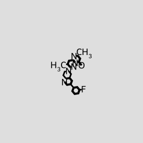 Cc1cc(=O)n2nc(N3CCc4ncc(-c5cccc(F)c5)cc4C3)c(C)cc2n1